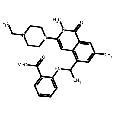 COC(=O)c1ccccc1NC(C)c1cc(C)cc2c(=O)n(C)c(N3CCN(CC(F)(F)F)CC3)cc12